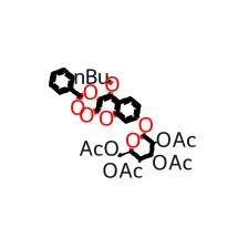 CCCCOc1c(OC(=O)c2ccccc2)c(=O)oc2cc(O[C@@H]3O[C@H](COC(C)=O)[C@H](OC(C)=O)[C@H](OC(C)=O)[C@H]3OC(C)=O)ccc12